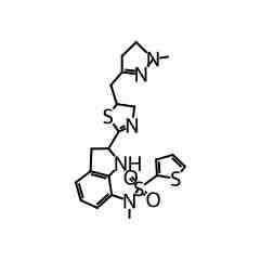 CN1CCC(CC2CN=C(C3Cc4cccc(N(C)S(=O)(=O)c5cccs5)c4N3)S2)=N1